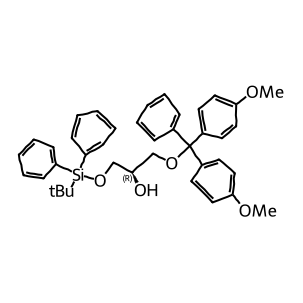 COc1ccc(C(OC[C@@H](O)CO[Si](c2ccccc2)(c2ccccc2)C(C)(C)C)(c2ccccc2)c2ccc(OC)cc2)cc1